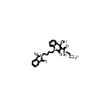 O=C(O)CNC(=O)c1c(O)c2ccccc2n(CCCCN2C(=O)c3ccccc3C2=O)c1=O